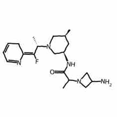 CC(C(=O)N[C@@H]1C[C@H](C)CN([C@@H](C)/C(F)=C2\CC=CC=N2)C1)N1CC(N)C1